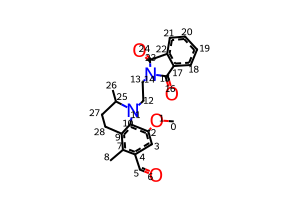 COc1cc(C=O)c(C)c2c1N(CCN1C(=O)c3ccccc3C1=O)C(C)CC2